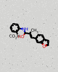 C/C(=C\c1ccc2ccoc2c1)C(O)Nc1ccccc1C(=O)O